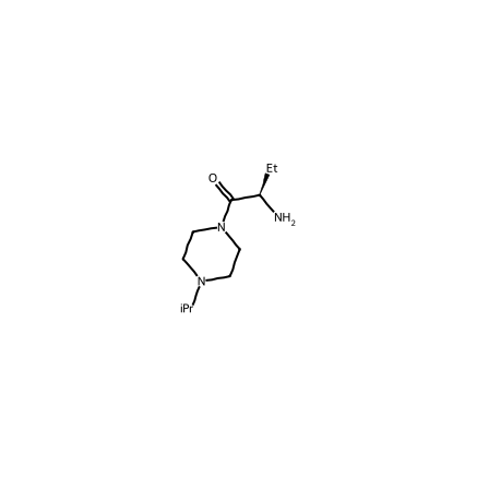 CC[C@@H](N)C(=O)N1CCN(C(C)C)CC1